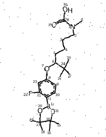 CN(CCCCC(Oc1ccc(B2OC(C)(C)C(C)(C)O2)c(F)c1)C(C)(C)C)C(=O)O